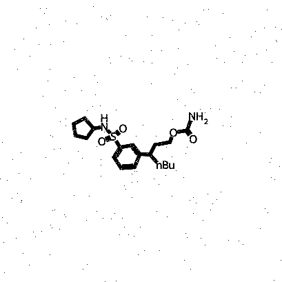 CCCCC(CCOC(N)=O)c1cccc(S(=O)(=O)NC2CCCC2)c1